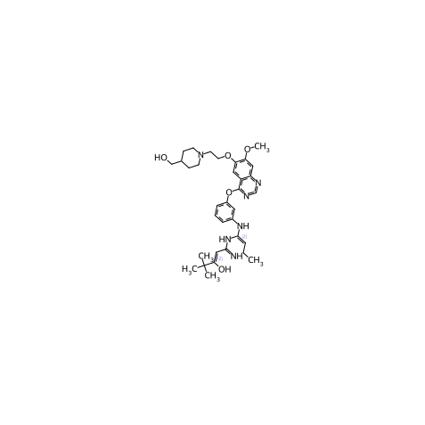 CC/C=C(\NC(=N)/C=C(\O)C(C)(C)C)Nc1cccc(Oc2ncnc3cc(OC)c(OCCN4CCC(CO)CC4)cc23)c1